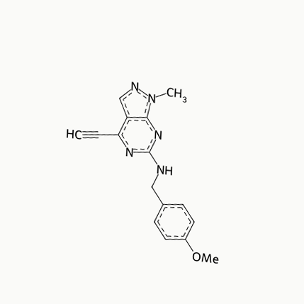 C#Cc1nc(NCc2ccc(OC)cc2)nc2c1cnn2C